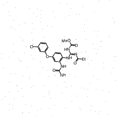 CCCC(=O)Nc1cc(Oc2cccc(Cl)c2)ccc1NC(=NC(=O)CC)NC(=O)OC